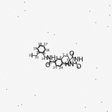 O=C1NC(=O)C2(CCc3cc(C(=O)NCc4ccccc4CI)ccc3C2)N1